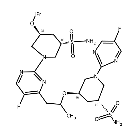 CC(C)O[C@H]1C[C@H](S(N)(=O)=O)CN(c2ncc(F)c(CC(C)O[C@@H]3C[C@@H](S(N)(=O)=O)CN(c4ncc(F)cn4)C3)n2)C1